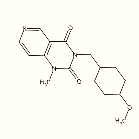 COC1CCC(Cn2c(=O)c3cnccc3n(C)c2=O)CC1